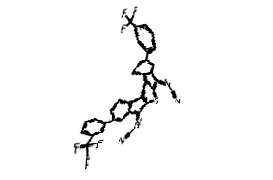 N#C/N=c1/c2cc(-c3cccc(C(F)(F)F)c3)ccc2c2c1sc1/c(=N/C#N)c3cc(-c4cccc(C(F)(F)F)c4)ccc3c12